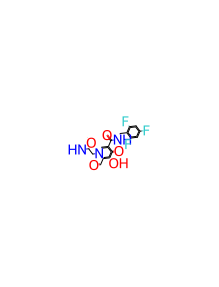 CNC(Cn1cc(C(=O)NCc2c(F)cc(F)cc2F)c(=O)c(O)c1C=O)OC